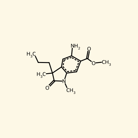 CCCC1(C)C(=O)N(C)c2cc(C(=O)OC)c(N)cc21